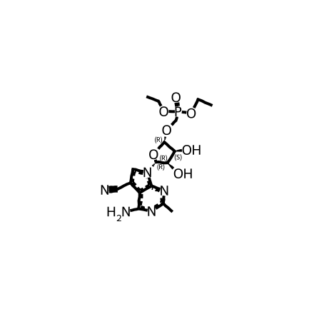 CCOP(=O)(CO[C@H]1O[C@@H](n2cc(C#N)c3c(N)nc(C)nc32)[C@H](O)[C@@H]1O)OCC